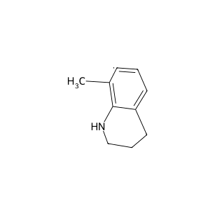 Cc1[c]ccc2c1NCCC2